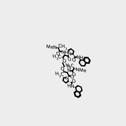 CN[C@@H](C)C(=O)N[C@H](C(=O)N1CCC[C@H]1C(=O)N[C@@H]1CCCc2ccccc21)[C@@H](C)OCCO[C@H](C)[C@H](NC(=O)[C@H](C)NC)C(=O)N1CCC[C@H]1C(=O)N[C@@H]1CCCc2ccccc21